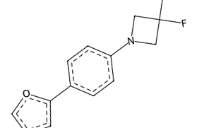 FC1(F)CN(c2ccc(-c3cnco3)cc2)C1